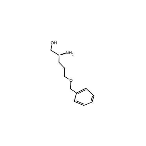 N[C@H](CO)CCCOCc1ccccc1